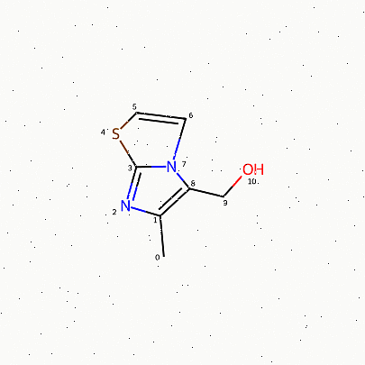 Cc1nc2sccn2c1CO